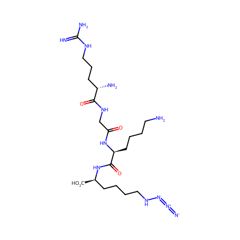 [N-]=[N+]=NNCCCC[C@H](NC(=O)[C@H](CCCCN)NC(=O)CNC(=O)[C@@H](N)CCCNC(=N)N)C(=O)O